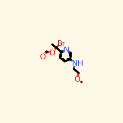 COCCNc1ccc(C(C)(Br)OC=O)nc1